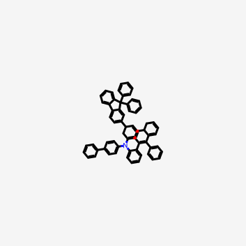 C1=CCC2C=CC(c3ccccc3N(C3=CC=CC(c4ccc5c(c4)C(c4ccccc4)(c4ccccc4)c4ccccc4-5)C3)c3ccc(-c4ccccc4)cc3)=C(c3ccccc3)C2=C1